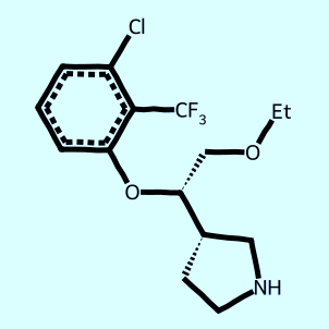 CCOC[C@@H](Oc1cccc(Cl)c1C(F)(F)F)[C@H]1CCNC1